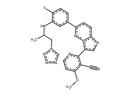 COc1ccnc(-c2cnc3ccc(-c4ccc(F)c(NC(C)Cn5cnnn5)c4)nn23)c1C#N